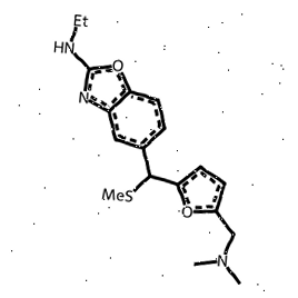 CCNc1nc2cc(C(SC)c3ccc(CN(C)C)o3)ccc2o1